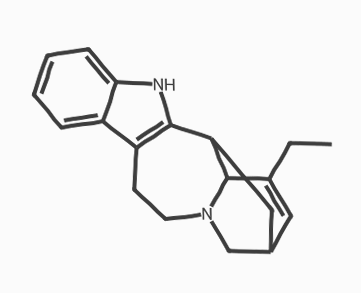 CCC1=CC2CC3c4[nH]c5ccccc5c4CCN(C2)C13